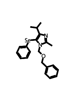 Cc1nc(C(C)C)c([Se]c2ccccc2)n1COCc1ccccc1